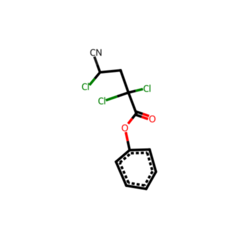 N#CC(Cl)CC(Cl)(Cl)C(=O)Oc1ccccc1